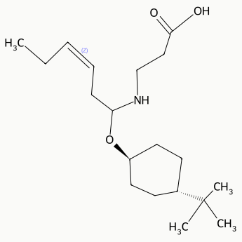 CC/C=C\CC(NCCC(=O)O)O[C@H]1CC[C@H](C(C)(C)C)CC1